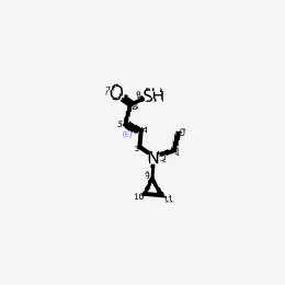 CCN(C/C=C/C(=O)S)C1CC1